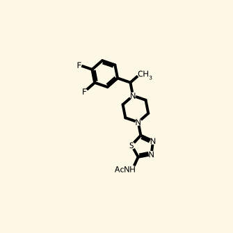 CC(=O)Nc1nnc(N2CCN(C(C)c3ccc(F)c(F)c3)CC2)s1